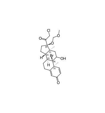 COCO[C@]1(C(=O)CCl)CC[C@H]2[C@@H]3CCC4=CC(=O)C=C[C@]4(C)[C@@]3(Br)C(O)C[C@@]21C